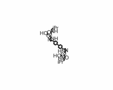 CC(C)CNC(=O)C[C@@H](OCO)c1ncc(-c2ccc(-c3ccc(-c4cnc(C[C@@H](OCO)C(=O)NCC(C)C)[nH]4)cc3)cc2)[nH]1